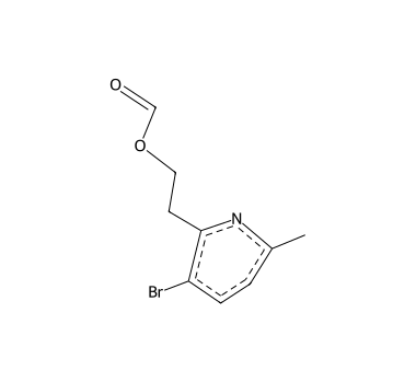 Cc1ccc(Br)c(CCOC=O)n1